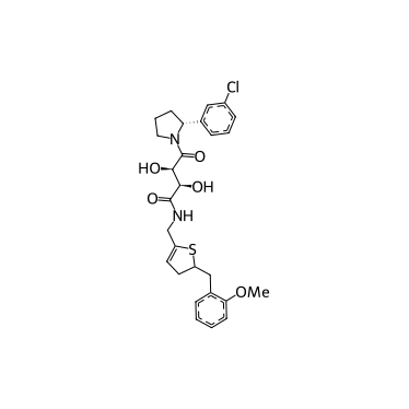 COc1ccccc1CC1CC=C(CNC(=O)[C@H](O)[C@@H](O)C(=O)N2CCC[C@@H]2c2cccc(Cl)c2)S1